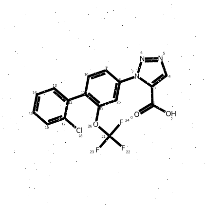 O=C(O)c1cnnn1-c1ccc(-c2ccccc2Cl)c(OC(F)(F)F)c1